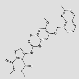 COC(=O)c1scc(NC(=O)Nc2cc(OCc3cccc4ccc(C)nc34)c(OC)cc2F)c1C(=O)OC